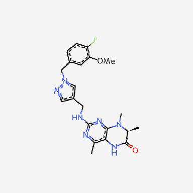 COc1cc(Cn2cc(CNc3nc(C)c4c(n3)N(C)[C@@H](C)C(=O)N4)cn2)ccc1F